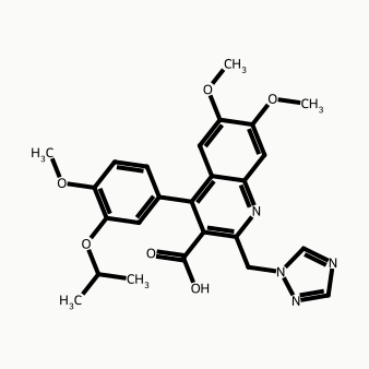 COc1cc2nc(Cn3cncn3)c(C(=O)O)c(-c3ccc(OC)c(OC(C)C)c3)c2cc1OC